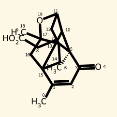 CC1=CC(=O)[C@@](C)(CCC(=O)O)C2C3CC4CC12CC4(C)O3